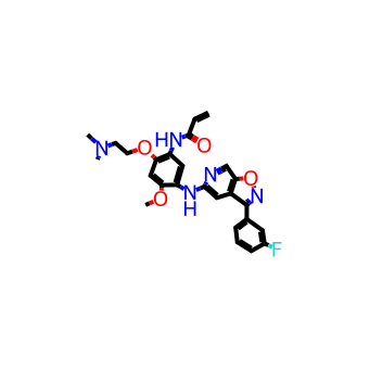 C=CC(=O)Nc1cc(Nc2cc3c(-c4cccc(F)c4)noc3cn2)c(OC)cc1OCCN(C)C